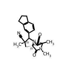 CN1C(=O)[C@@]23C[C@](C)(C#N)C(c4ccc5c(c4)CCC5)N2C(=O)C1(C)SS3